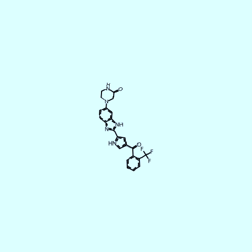 O=C1CN(c2ccc3nc(-c4cc(C(=O)c5ccccc5C(F)(F)F)c[nH]4)[nH]c3c2)CCN1